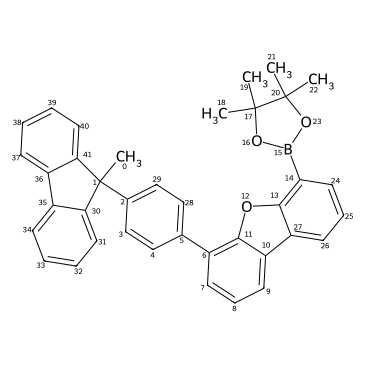 CC1(c2ccc(-c3cccc4c3oc3c(B5OC(C)(C)C(C)(C)O5)cccc34)cc2)c2ccccc2-c2ccccc21